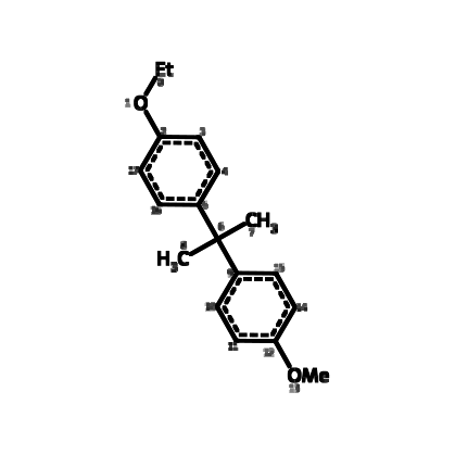 CCOc1ccc(C(C)(C)c2ccc(OC)cc2)cc1